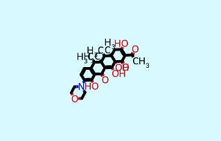 CC(=O)C1=C(O)CC2(C)C(C)C3(C)C(=C(O)C2(O)C1=O)C(=O)c1c(ccc(N2CCOCC2)c1O)C3C